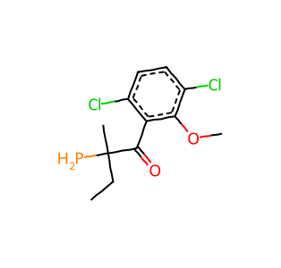 CCC(C)(P)C(=O)c1c(Cl)ccc(Cl)c1OC